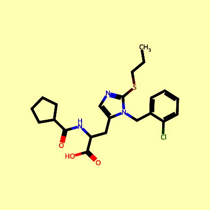 CCCSc1ncc(CC(NC(=O)C2CCCC2)C(=O)O)n1Cc1ccccc1Cl